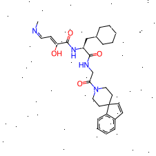 C/N=C\C=C(/O)C(=O)N[C@@H](CC1CCCCC1)C(=O)NCC(=O)N1CCC2(C=Cc3ccccc32)CC1